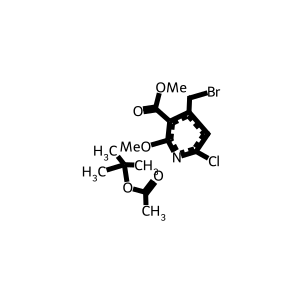 CC(=O)OC(C)(C)C.COC(=O)c1c(CBr)cc(Cl)nc1OC